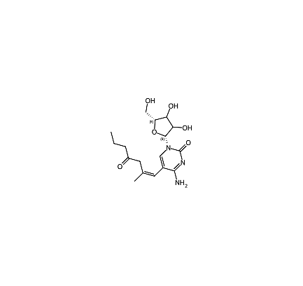 CCCC(=O)CC(C)=Cc1cn([C@@H]2O[C@H](CO)C(O)C2O)c(=O)nc1N